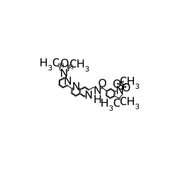 C[C@@H]1CN(c2cccc(-c3ccc4cnc(CNC(=O)c5ccc6c(c5)N(S(C)(=O)=O)CC6(C)C)cc4n3)n2)C[C@H](C)O1